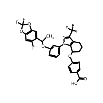 CC(Oc1cccc(-n2nc(C(F)(F)F)c3c2C(Oc2ccc(C(=O)O)cc2)CCC3)c1)c1cc2c(cc1F)OC(F)(F)O2